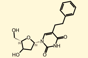 O=c1[nH]c(=O)n([C@@H]2CC(O)[C@H](CO)O2)cc1CCc1ccccc1